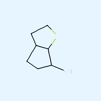 CC1CCC2CCSC12